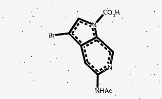 CC(=O)Nc1cc2c(Br)cn(C(=O)O)c2cn1